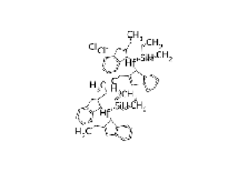 C=C[SiH](C=C)[Hf+]([CH]1C(CC)=Cc2ccccc21)[CH]1C(CC)=Cc2ccccc21.C=C[SiH](C=C)[Hf+]([CH]1C(CC)=Cc2ccccc21)[CH]1C(CC)=Cc2ccccc21.[Cl-].[Cl-]